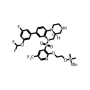 CC(C)(C)[Si](C)(C)OCCOc1ncc(C(F)(F)F)cc1S(=O)(=O)N1C[C@@H]2CNCCN2c2ccc(-c3cc(F)cc(OC(F)F)c3)cc21